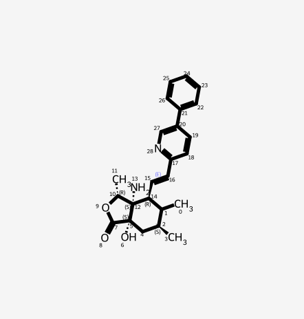 CC1[C@@H](C)C[C@@]2(O)C(=O)O[C@H](C)[C@@]2(N)[C@H]1/C=C/c1ccc(-c2ccccc2)cn1